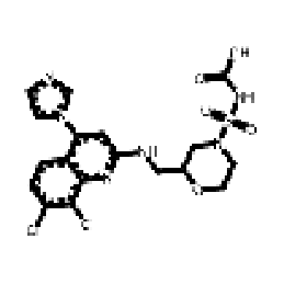 O=C(O)NS(=O)(=O)N1CCOC(CNc2cc(-n3ccnc3)c3ccc(Cl)c(Cl)c3n2)C1